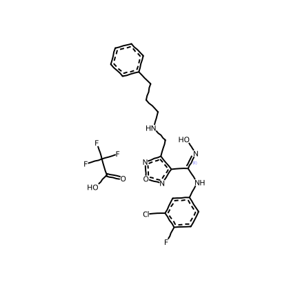 O/N=C(/Nc1ccc(F)c(Cl)c1)c1nonc1CNCCCc1ccccc1.O=C(O)C(F)(F)F